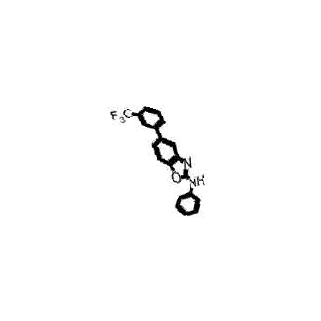 FC(F)(F)c1cccc(-c2ccc3oc(Nc4ccccc4)nc3c2)c1